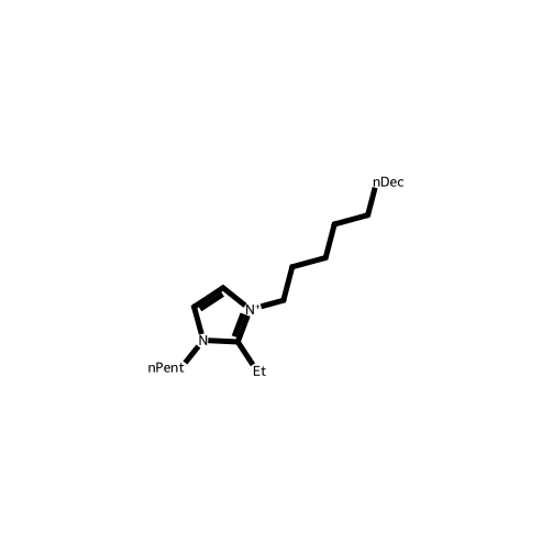 CCCCCCCCCCCCCCC[n+]1ccn(CCCCC)c1CC